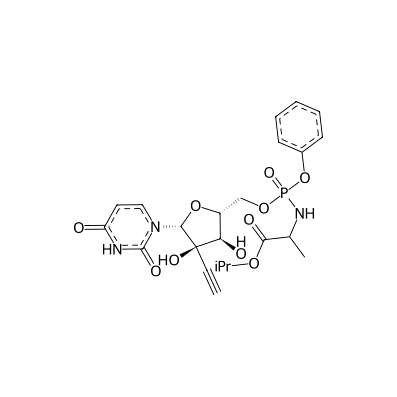 C#C[C@@]1(O)[C@H](O)[C@@H](COP(=O)(NC(C)C(=O)OC(C)C)Oc2ccccc2)O[C@H]1n1ccc(=O)[nH]c1=O